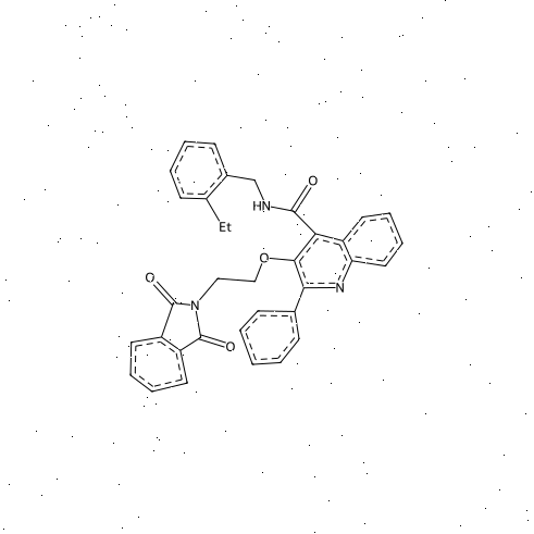 CCc1ccccc1CNC(=O)c1c(OCCN2C(=O)c3ccccc3C2=O)c(-c2ccccc2)nc2ccccc12